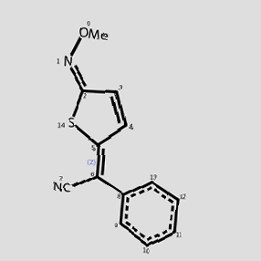 CON=C1C=C/C(=C(/C#N)c2ccccc2)S1